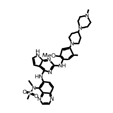 COc1cc(N2CCC(N3CCN(C)CC3)CC2)c(C)cc1Nc1nc(Nc2ccc3nccnc3c2N(C)S(C)(=O)=O)c2cc[nH]c2n1